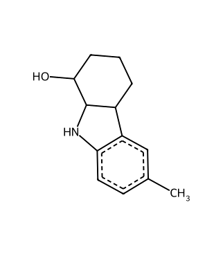 Cc1ccc2c(c1)C1CCCC(O)C1N2